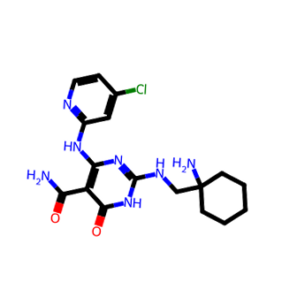 NC(=O)c1c(Nc2cc(Cl)ccn2)nc(NCC2(N)CCCCC2)[nH]c1=O